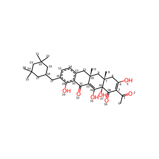 CC(=O)C1=C(O)C[C@@]2(C)C[C@@]3(C)Cc4ccc(CC5CC(C)(C)CC(C)(C)C5)c(O)c4C(=O)C3=C(O)[C@@]2(O)C1=O